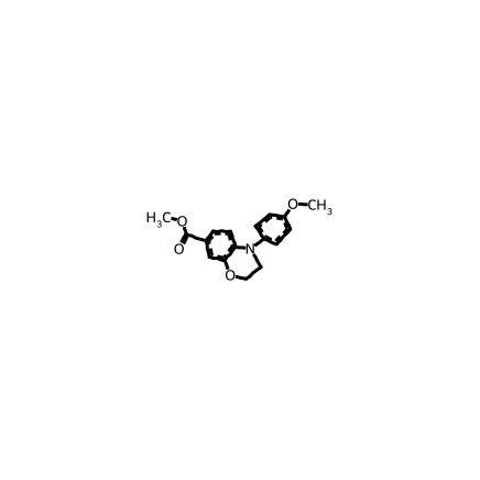 COC(=O)c1ccc2c(c1)OCCN2c1ccc(OC)cc1